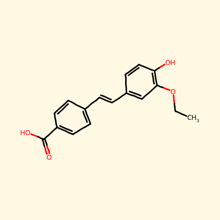 CCOc1cc(C=Cc2ccc(C(=O)O)cc2)ccc1O